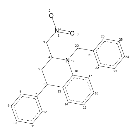 O=[N+]([O-])CC1CC(c2ccccc2)c2ccccc2N1Cc1ccccc1